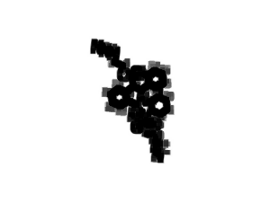 [N-]=[N+]=NCCOC(=O)C1c2ccccc2C(=O)N(C2CCCCC2NS(=O)(=O)CN=[N+]=[N-])C1c1ccccc1Cl